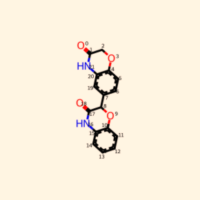 O=C1COc2ccc(C3Oc4cc[c]cc4NC3=O)cc2N1